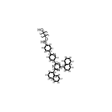 CC(C)(O)C(C)(C)OBc1ccc(-c2ccc(-c3nc(-c4cccc5ccccc45)nc(-c4cccc5ccccc45)n3)cn2)cc1